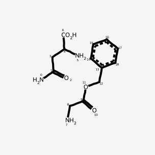 NC(=O)CC(N)C(=O)O.NCC(=O)OCc1ccccc1